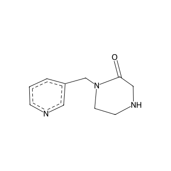 O=C1CNCCN1Cc1cccnc1